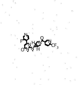 CN(c1nc(-c2ccncc2F)cc(=O)n1C)[C@H]1[C@@H]2CN(C(=O)c3ccc(C(F)(F)F)nc3)C[C@@H]21